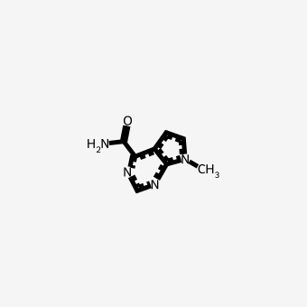 Cn1ccc2c(C(N)=O)ncnc21